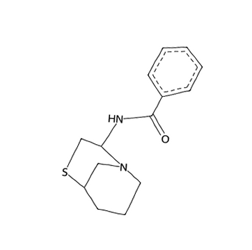 O=C(NC1CSC2CCCN1C2)c1ccccc1